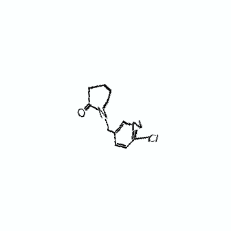 O=C1CCCCN1Cc1ccc(Cl)nc1